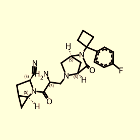 N#C[C@@H]1CC2C[C@@H]2N1C(=O)[C@@H](N)CN1C[C@@H]2C[C@H]1C(=O)N2C1(c2ccc(F)cc2)CCC1